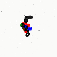 COc1ccc(OC(=O)C2=C(CCl)CS[C@@H]3C(NC(=O)Cc4ccccc4)C(=O)N23)cc1